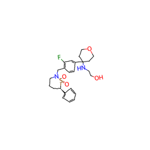 O=S1(=O)[C@@H](c2ccccc2)CCCN1Cc1ccc(C2(NCCO)CCOCC2)cc1F